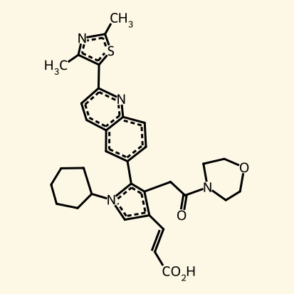 Cc1nc(C)c(-c2ccc3cc(-c4c(CC(=O)N5CCOCC5)c(C=CC(=O)O)cn4C4CCCCC4)ccc3n2)s1